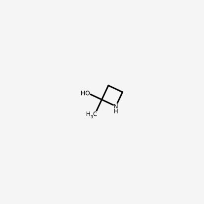 CC1(O)CCN1